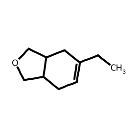 CCC1=CCC2COCC2C1